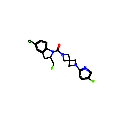 O=C(N1CC2(C1)CN(c1ccc(F)cn1)C2)N1c2ccc(Cl)cc2CC1CF